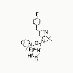 CCC1(C)COCCN1C[C@H]1CN[C@H](C)CN1CC(=O)N1CC(C)(C)c2ncc(Cc3ccc(F)cc3)cc21